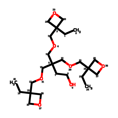 CCC1(COCC(CCO)(COCC2(CC)COC2)COCC2(CC)COC2)COC1